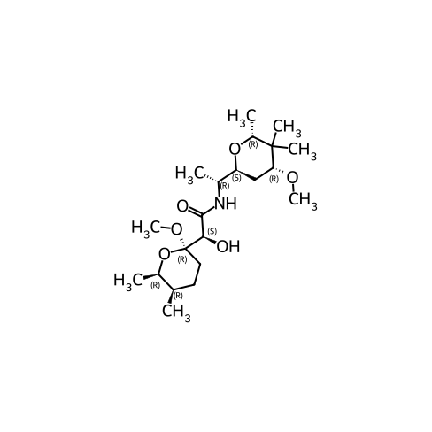 CO[C@@H]1C[C@@H]([C@@H](C)NC(=O)[C@@H](O)[C@@]2(OC)CC[C@@H](C)[C@@H](C)O2)O[C@H](C)C1(C)C